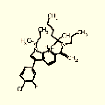 C=C(c1ccc2c(-c3ccc(Cl)c(F)c3)cn([C@H](C)CC)c2n1)N(CCC)C(C)(C)CCCC